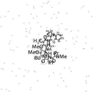 CC[C@H](C)C(NC(=O)[C@@H](NC(=O)[C@@H](NC)C(C)C)C(C)C)[C@@H](CC(=O)N1CCC[C@H]1[C@H](OC)[C@@H](C)C(=O)N[C@@H](Cc1ccccc1)c1nccs1)OC